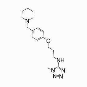 Cn1nnnc1NCCCOc1ccc(CN2CCCCC2)cc1